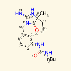 CCCCNC(=O)Nc1cccc(CN2C(=N)NC(C)(CC(C)C)C2=O)c1